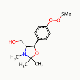 CSOOc1ccc([C@H]2OC(C)(C)N(C)[C@@H]2CO)cc1